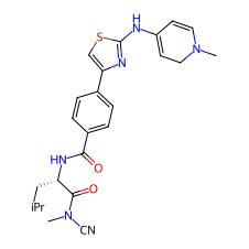 CC(C)C[C@H](NC(=O)c1ccc(-c2csc(NC3=CCN(C)C=C3)n2)cc1)C(=O)N(C)C#N